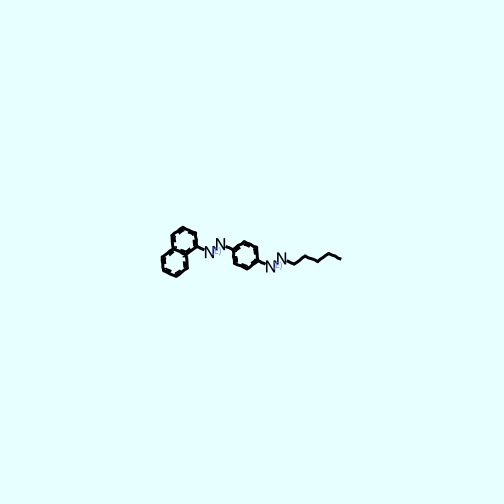 CCCCC/N=N/c1ccc(/N=N/c2cccc3ccccc23)cc1